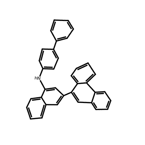 c1ccc(-c2ccc(Nc3cc(-c4cc5ccccc5c5ccccc45)cc4ccccc34)cc2)cc1